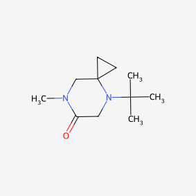 CN1CC2(CC2)N(C(C)(C)C)CC1=O